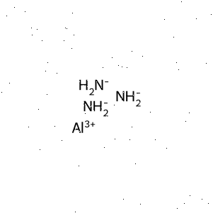 [Al+3].[NH2-].[NH2-].[NH2-]